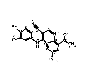 C[S+]([O-])c1cc(N)cc2c(Nc3ccc(F)c(Cl)c3)c(C#N)cnc12